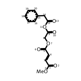 COC(=O)C=CC(=O)OCC(=O)OC(=O)Cc1ccccc1